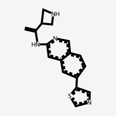 C=C(Nc1cc2cc(-c3cncs3)ccc2cn1)C1CNC1